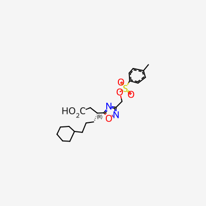 Cc1ccc(S(=O)(=O)OCc2noc([C@H](CCCC3CCCCC3)CC(=O)O)n2)cc1